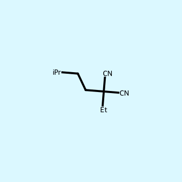 CCC(C#N)(C#N)CCC(C)C